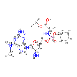 CC(C)OC(=O)[C@H](C)N[P@@](=O)(OC[C@@H]1CC(=N)[C@H](n2cnc3c(N(C)C4CC4)nc(N)nc32)O1)Oc1ccccc1